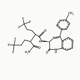 Cc1ccc(C2=N[C@H](NC(=O)C(CCC(F)(F)F)C(CCC(F)(F)F)C(N)=O)C(=O)Nc3ccccc32)cc1